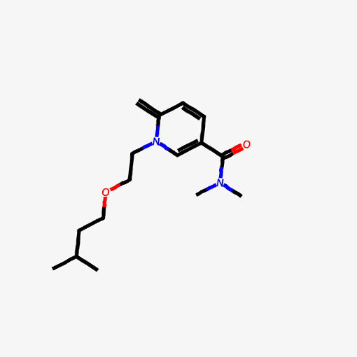 C=C1C=CC(C(=O)N(C)C)=CN1CCOCCC(C)C